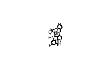 COC(C)(C)COc1cnccc1CNC1=C(C(=S)Nc2cc(F)cc(F)c2)C(=O)NCC1